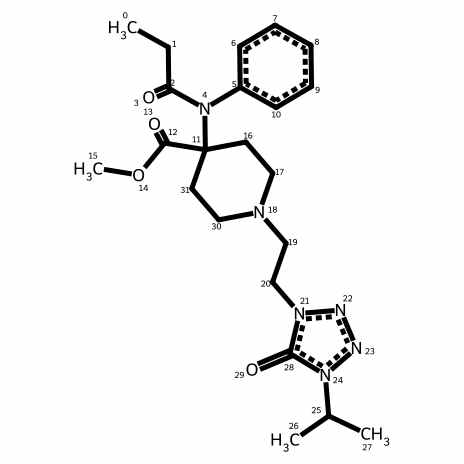 CCC(=O)N(c1ccccc1)C1(C(=O)OC)CCN(CCn2nnn(C(C)C)c2=O)CC1